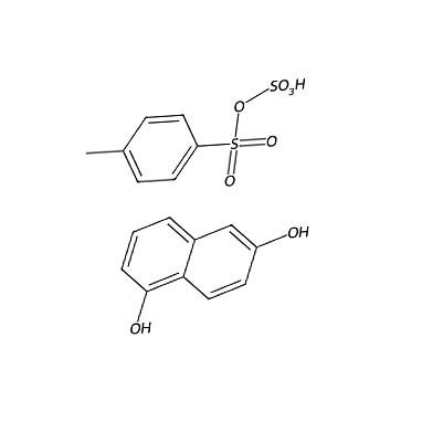 Cc1ccc(S(=O)(=O)OS(=O)(=O)O)cc1.Oc1ccc2c(O)cccc2c1